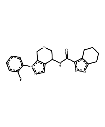 O=C(NC1COCc2c1cnn2-c1ccccc1F)c1noc2c1CCCC2